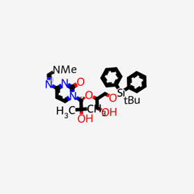 CN/C=N\c1ccn([C@@H](OC(CO)CO[Si](c2ccccc2)(c2ccccc2)C(C)(C)C)C(C)(C)O)c(=O)n1